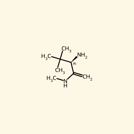 C=C(NC)[C@H](N)C(C)(C)C